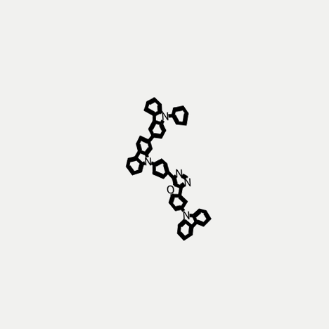 c1ccc(-n2c3ccccc3c3cc(-c4ccc5c6ccccc6n(-c6ccc(-c7ncnc8c7oc7ccc(-n9c%10ccccc%10c%10ccccc%109)cc78)cc6)c5c4)ccc32)cc1